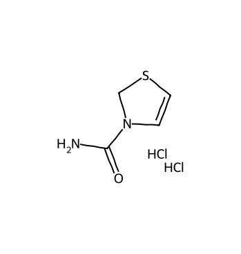 Cl.Cl.NC(=O)N1C=CSC1